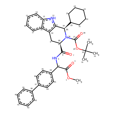 COC(=O)C(NC(=O)[C@H]1Cc2c([nH]c3ccccc23)[C@@H](C2CCCCC2)N1C(=O)OC(C)(C)C)c1ccc(-c2ccccc2)cc1